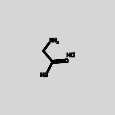 Cl.NCC(=O)O